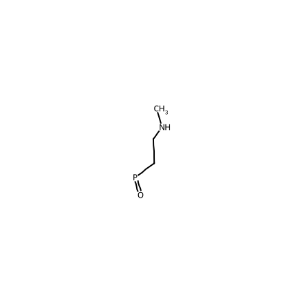 CNCCP=O